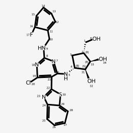 OC[C@H]1C[C@@H](Nc2nc(NCc3ccccc3F)nc(Cl)c2-c2nc3ccccc3s2)[C@H](O)[C@@H]1O